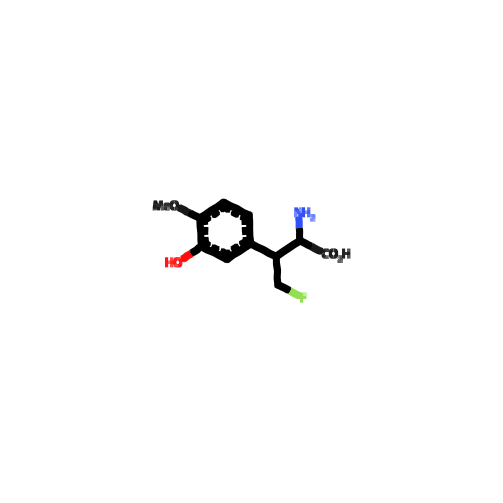 COc1ccc(C(CF)C(N)C(=O)O)cc1O